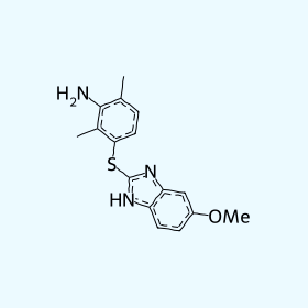 COc1ccc2[nH]c(Sc3ccc(C)c(N)c3C)nc2c1